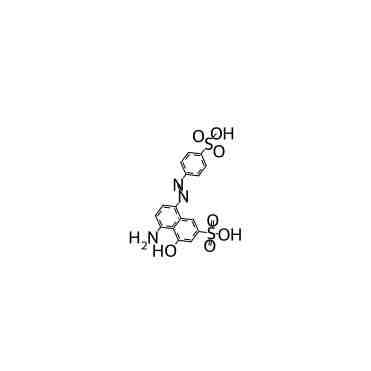 Nc1ccc(N=Nc2ccc(S(=O)(=O)O)cc2)c2cc(S(=O)(=O)O)cc(O)c12